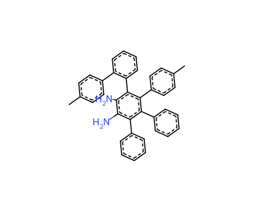 Cc1ccc(-c2ccccc2-c2c(N)c(N)c(-c3ccccc3)c(-c3ccccc3)c2-c2ccc(C)cc2)cc1